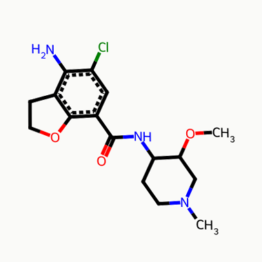 COC1CN(C)CCC1NC(=O)c1cc(Cl)c(N)c2c1OCC2